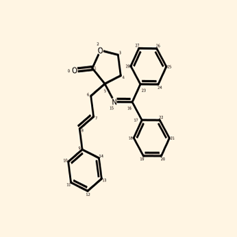 O=C1OCCC1(CC=Cc1ccccc1)N=C(c1ccccc1)c1ccccc1